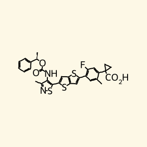 Cc1cc(-c2cc3sc(-c4snc(C)c4NC(=O)O[C@H](C)c4ccccc4)cc3s2)c(F)cc1C1(C(=O)O)CC1